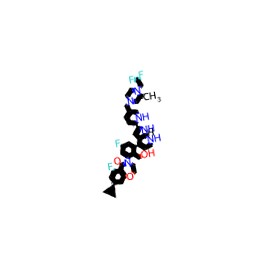 CC1CN(CC2=CC[C@H](C3=CC4C([C@@H]5C[C@H](F)C=C(N6CCOC7=C(C6=O)C(F)=C[C@H](C6CC6)C7)C5CO)=CCN[C@@H]4N3)NC2)CCN1CC(F)F